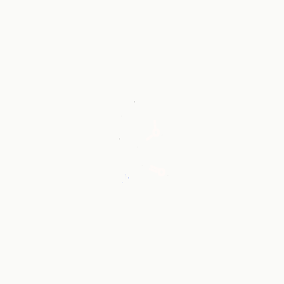 NC(=O)C1C[C]CCO1